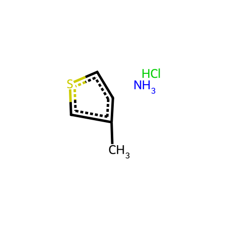 Cc1ccsc1.Cl.N